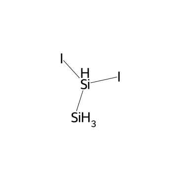 [SiH3][SiH](I)I